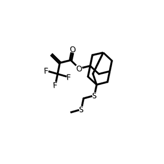 C=C(C(=O)OC12CC3CC(C1)CC(SCSC)(C3)C2)C(F)(F)F